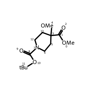 COC(=O)C1(OC)CCN(C(=O)OC(C)(C)C)CC1